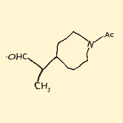 CC(=O)N1CCC(C(C)[C]=O)CC1